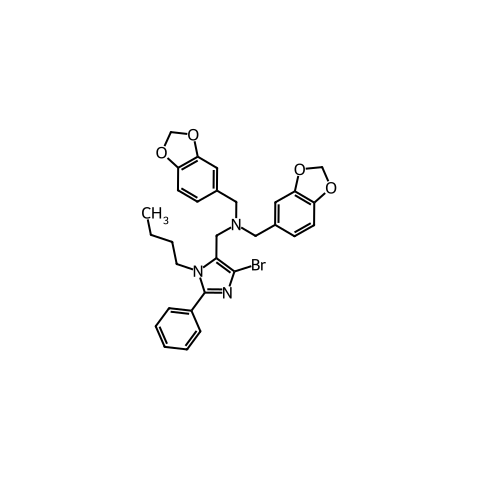 CCCCn1c(-c2ccccc2)nc(Br)c1CN(Cc1ccc2c(c1)OCO2)Cc1ccc2c(c1)OCO2